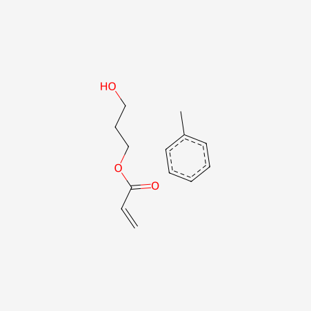 C=CC(=O)OCCCO.Cc1ccccc1